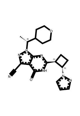 C[C@H](C1CCOCC1)n1nc(C#N)c2c(=O)[nH]c([C@H]3CC[C@@H]3n3cccn3)nc21